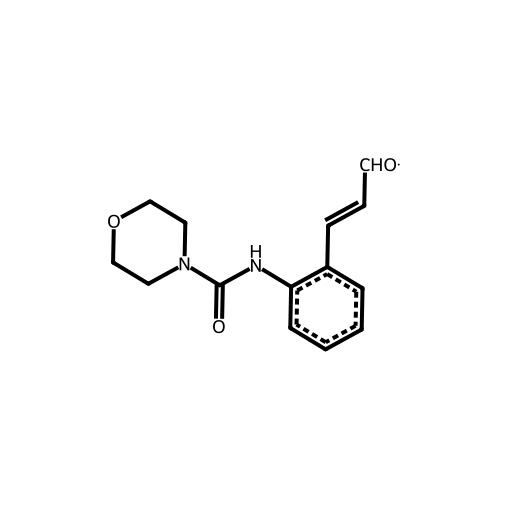 O=[C]/C=C/c1ccccc1NC(=O)N1CCOCC1